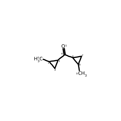 CC1CC1C(=O)C1CC1C